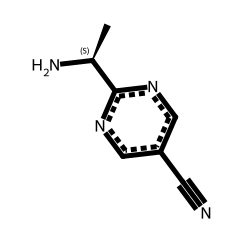 C[C@H](N)c1ncc(C#N)cn1